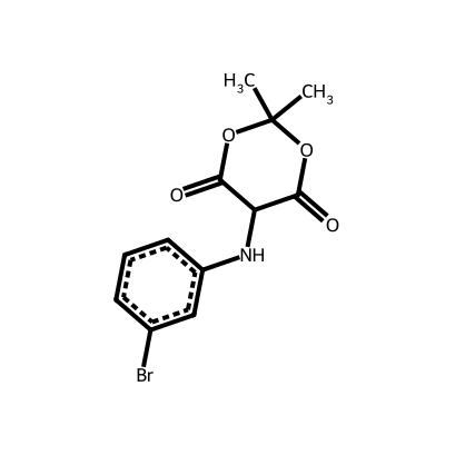 CC1(C)OC(=O)C(Nc2cccc(Br)c2)C(=O)O1